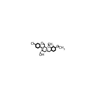 COc1ccc(CN2CC(C=O)N(c3ccc(Cl)cc3)[C@@H](CO)C2)c(OC)c1